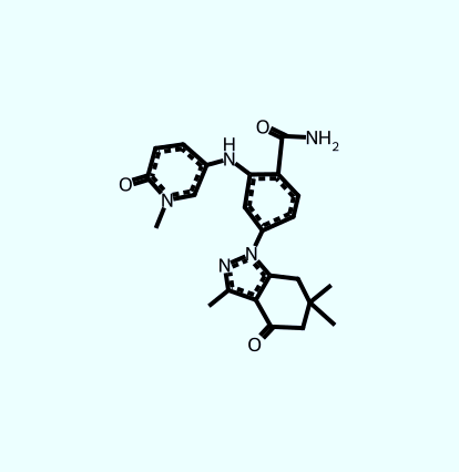 Cc1nn(-c2ccc(C(N)=O)c(Nc3ccc(=O)n(C)c3)c2)c2c1C(=O)CC(C)(C)C2